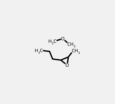 CCCC1OC1C.COC